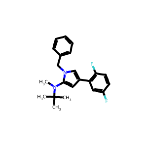 CN(c1cc(-c2cc(F)ccc2F)cn1Cc1ccccc1)C(C)(C)C